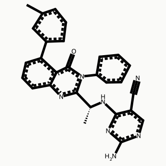 Cc1cccc(-c2cccc3nc([C@@H](C)Nc4nc(N)ncc4C#N)n(-c4ccccc4)c(=O)c23)c1